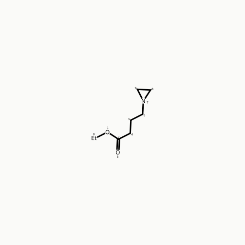 CCOC(=O)CCCN1CC1